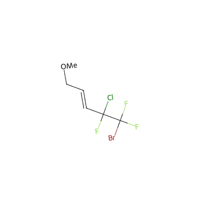 [CH2]OC/C=C/C(F)(Cl)C(F)(F)Br